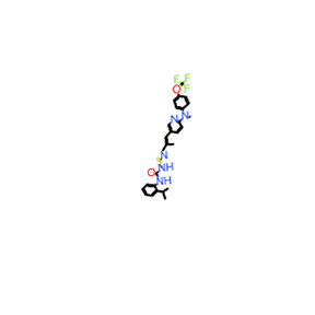 CC(/C=N/SNC(=O)Nc1ccccc1C(C)C)=C\c1ccc(N(C)c2ccc(OC(F)(F)F)cc2)nc1